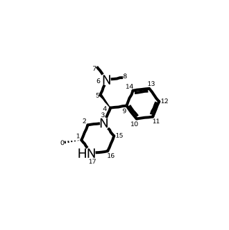 C[C@@H]1CN([C@@H](CN(C)C)c2ccccc2)CCN1